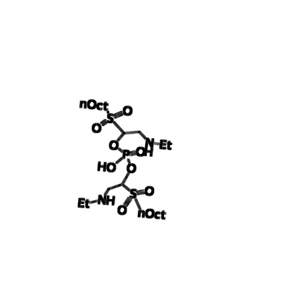 CCCCCCCCS(=O)(=O)C(CNCC)OP(=O)(O)OC(CNCC)S(=O)(=O)CCCCCCCC